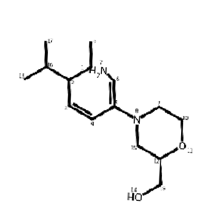 CCC(/C=C\C(=C/N)N1CCO[C@@H](CO)C1)C(C)C